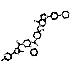 Cc1ccc(-c2nc(C)c(C(=O)N3CC[C@@H](C(=O)N4CCC(O)(Cn5cnc6c(ccn6-c6ccc(N7CCOCC7)cc6)c5=O)CC4)[C@H](c4ccccc4)C3)s2)cn1